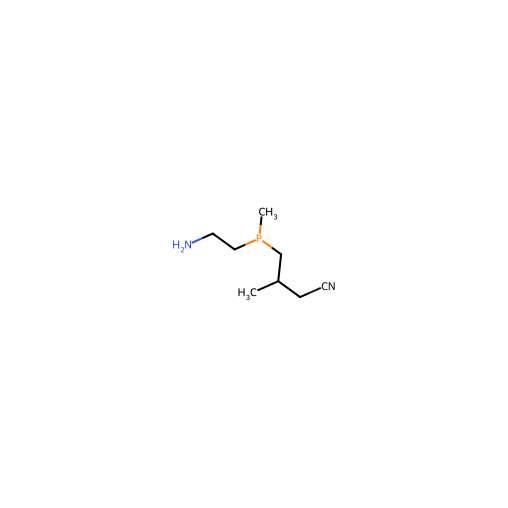 CC(CC#N)CP(C)CCN